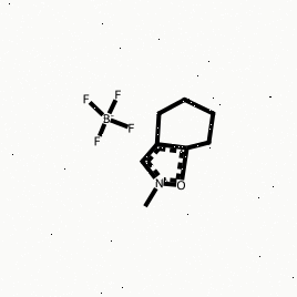 C[n+]1cc2c(o1)CCCC2.F[B-](F)(F)F